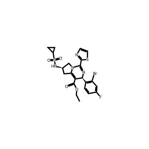 CCOC(=O)C1=C2C[C@@H](NS(=O)(=O)C3CC3)CN2C(c2nccs2)=N[C@H]1c1ccc(F)cc1Br